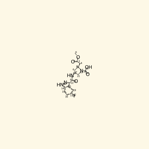 COC(=O)C[C@@H]1C[C@H](NC(=O)c2n[nH]c3ccc(F)cc23)CN1C(=O)O